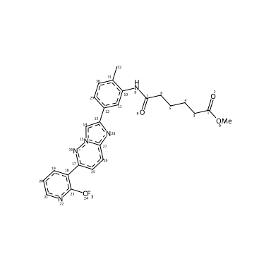 COC(=O)CCCCC(=O)Nc1cc(-c2cn3nc(-c4cccnc4C(F)(F)F)ccc3n2)ccc1C